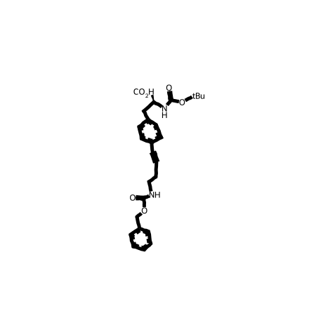 CC(C)(C)OC(=O)N[C@@H](Cc1ccc(C#CCCNC(=O)OCc2ccccc2)cc1)C(=O)O